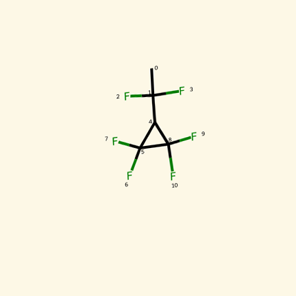 CC(F)(F)C1C(F)(F)C1(F)F